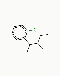 CCC(C)C(C)c1ccc[c]c1Cl